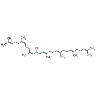 CC(C)=CCCC(C)=CCCC(C)=CC(O)C/C=C(\C)CC/C=C(\C)CC/C=C(\C)CCC=C(C)C